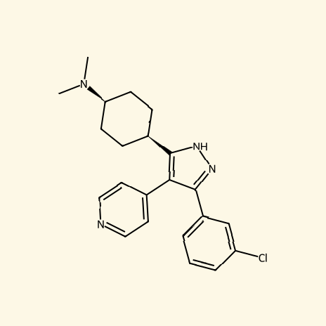 CN(C)[C@H]1CC[C@@H](c2[nH]nc(-c3cccc(Cl)c3)c2-c2ccncc2)CC1